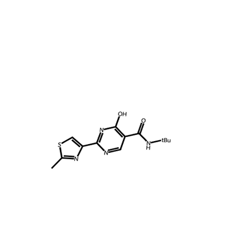 Cc1nc(-c2ncc(C(=O)NC(C)(C)C)c(O)n2)cs1